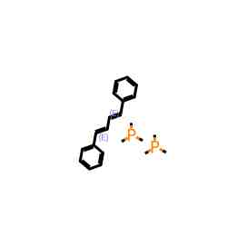 C(/C=C/c1ccccc1)=C\c1ccccc1.CP(C)C.CP(C)C